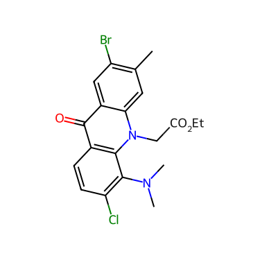 CCOC(=O)Cn1c2cc(C)c(Br)cc2c(=O)c2ccc(Cl)c(N(C)C)c21